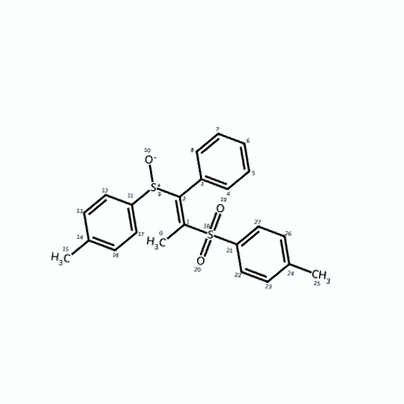 C/C(=C(/c1ccccc1)[S+]([O-])c1ccc(C)cc1)S(=O)(=O)c1ccc(C)cc1